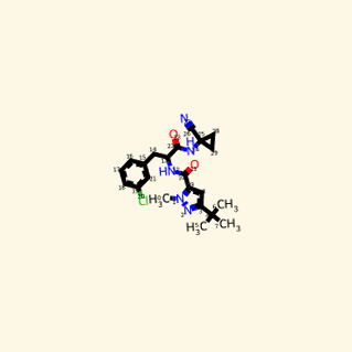 Cn1nc(C(C)(C)C)cc1C(=O)NC(Cc1cccc(Cl)c1)C(=O)NC1(C#N)CC1